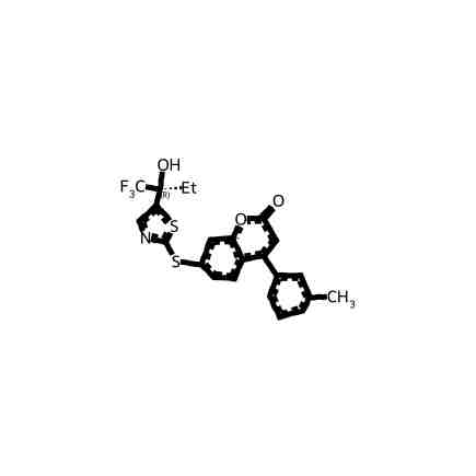 CC[C@](O)(c1cnc(Sc2ccc3c(-c4cccc(C)c4)cc(=O)oc3c2)s1)C(F)(F)F